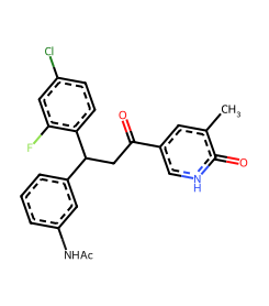 CC(=O)Nc1cccc(C(CC(=O)c2c[nH]c(=O)c(C)c2)c2ccc(Cl)cc2F)c1